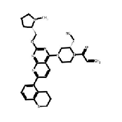 C=CC(=O)N1CCN(c2nc(OC[C@@H]3CCCN3C)nc3nc(-c4cccc5c4CCCS5)ccc23)C[C@@H]1CC#N